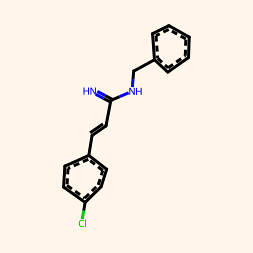 N=C(/C=C/c1ccc(Cl)cc1)NCc1ccccc1